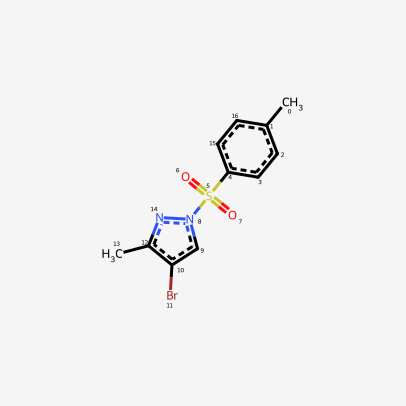 Cc1ccc(S(=O)(=O)n2cc(Br)c(C)n2)cc1